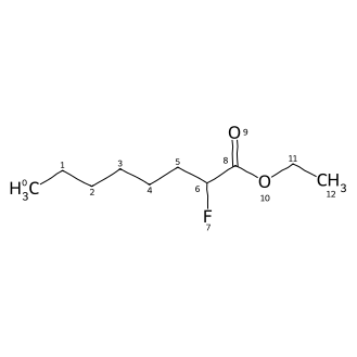 CCCCCCC(F)C(=O)OCC